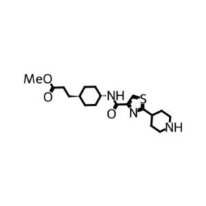 COC(=O)CC[C@H]1CC[C@H](NC(=O)c2csc(C3CCNCC3)n2)CC1